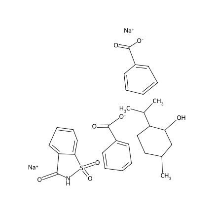 CC1CCC(C(C)C)C(O)C1.O=C([O-])c1ccccc1.O=C([O-])c1ccccc1.O=C1NS(=O)(=O)c2ccccc21.[Na+].[Na+]